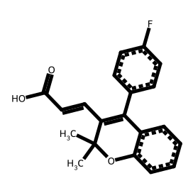 CC1(C)Oc2ccccc2C(c2ccc(F)cc2)=C1/C=C/C(=O)O